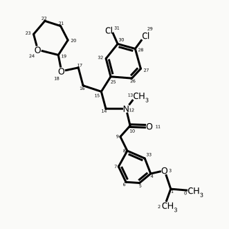 CC(C)Oc1cccc(CC(=O)N(C)CC(CCOC2CCCCO2)c2ccc(Cl)c(Cl)c2)c1